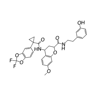 COc1ccc2c(c1)OC(C(=O)NCCc1cccc(O)c1)CC2NC(=O)C1(c2ccc3c(c2)OC(F)(F)O3)CC1